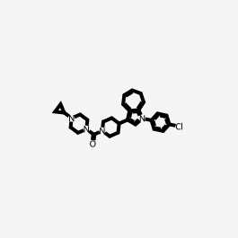 O=C(N1CCC(c2cn(-c3ccc(Cl)cc3)c3c2=CC=CCC=3)CC1)N1CCN(C2CC2)CC1